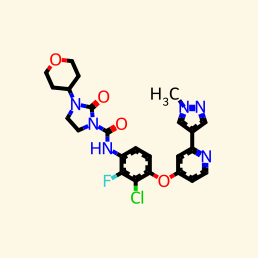 Cn1cc(-c2cc(Oc3ccc(NC(=O)N4CCN(C5CCOCC5)C4=O)c(F)c3Cl)ccn2)cn1